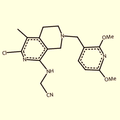 COc1ccc(CN2CCc3c(C)c(Cl)nc(NCC#N)c3C2)c(OC)n1